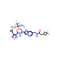 CC(C)(OC[C@H](NC(=O)c1nonc1C1CC1)c1cn2ncc(CNC(=O)CC3CC(F)(F)C3)cc2n1)C(F)(F)F